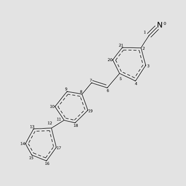 N#Cc1ccc(/C=C/c2ccc(-c3ccccc3)cc2)cc1